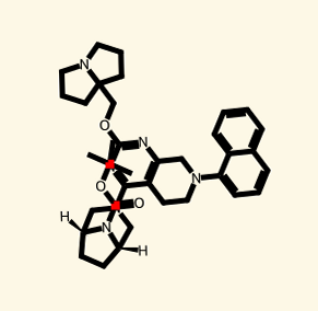 CC(C)(C)OC(=O)N1[C@@H]2CC[C@H]1CN(c1nc(OCC34CCCN3CCC4)nc3c1CCN(c1cccc4ccccc14)C3)C2